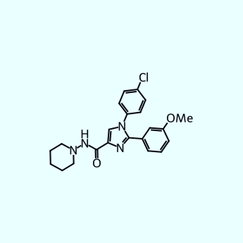 COc1cccc(-c2nc(C(=O)NN3CCCCC3)cn2-c2ccc(Cl)cc2)c1